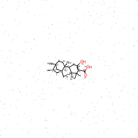 C[C@@H]1C[C@]23CC[C@H]4C(C)(C)C(C(=O)O)=C(O)C[C@]4(C)[C@H]2CC[C@@H]1C3